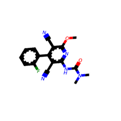 COc1nc(NC(=O)N(C)C)c(C#N)c(-c2ccccc2F)c1C#N